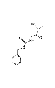 CC(Br)C(=O)CNC(=O)OCc1ccccc1